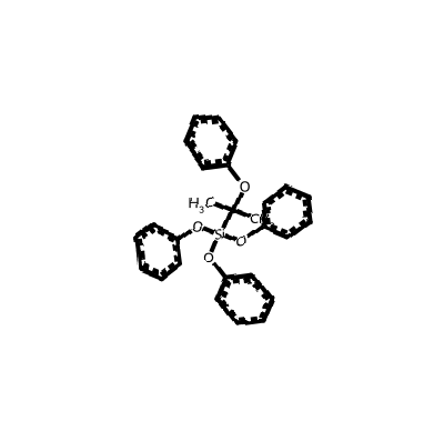 CC(C)(Oc1ccccc1)[Si](Oc1ccccc1)(Oc1ccccc1)Oc1ccccc1